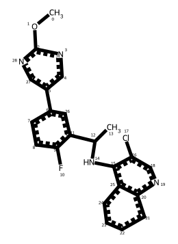 COc1ncc(-c2ccc(F)c(C(C)Nc3c(Cl)cnc4ccccc34)c2)cn1